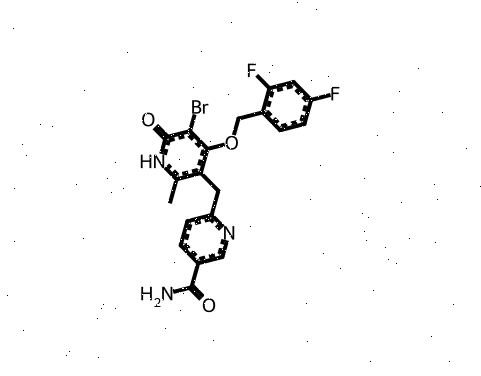 Cc1[nH]c(=O)c(Br)c(OCc2ccc(F)cc2F)c1Cc1ccc(C(N)=O)cn1